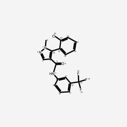 Cn1ncc(C(=O)Nc2cccc(C(F)(F)F)c2)c1-c1ccccc1Cl